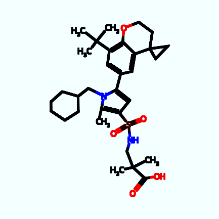 Cc1c(S(=O)(=O)NCC(C)(C)C(=O)O)cc(-c2cc(C(C)(C)C)c3c(c2)C2(CCO3)CC2)n1CC1CCCCC1